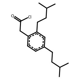 CC(C)CCc1ccc(CC(=O)Cl)c(CCC(C)C)c1